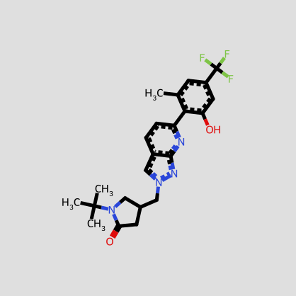 Cc1cc(C(F)(F)F)cc(O)c1-c1ccc2cn(CC3CC(=O)N(C(C)(C)C)C3)nc2n1